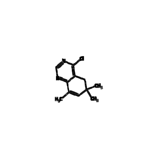 CC1=CC(C)(C)Cc2c(Cl)ncnc21